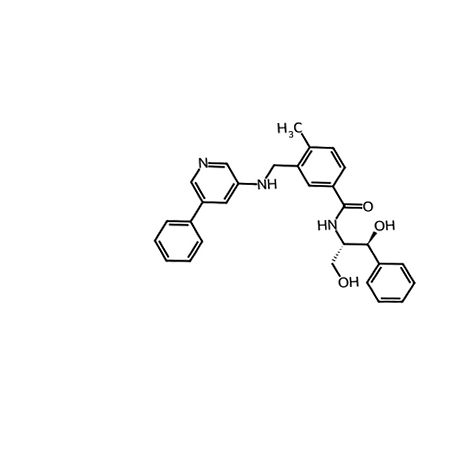 Cc1ccc(C(=O)N[C@@H](CO)[C@@H](O)c2ccccc2)cc1CNc1cncc(-c2ccccc2)c1